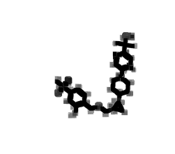 CC(C)(O)c1cnc(N2CCC([C@H]3C[C@H]3COCc3ccc(S(C)(=O)=O)cc3F)CC2)cn1